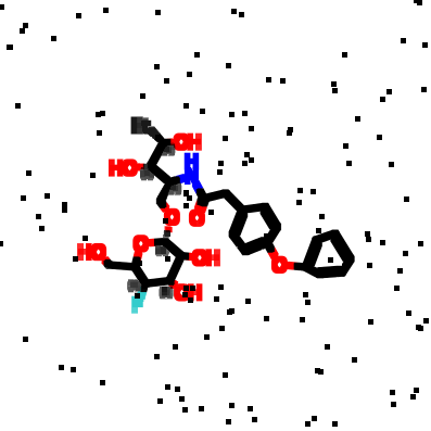 CC[C@@H](O)[C@@H](O)[C@H](CO[C@H]1OC(CO)[C@H](F)[C@H](O)C1O)NC(=O)Cc1ccc(Oc2ccccc2)cc1